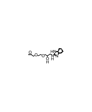 OC(CNc1nc2ccccc2[nH]1)COCCOCC1CO1